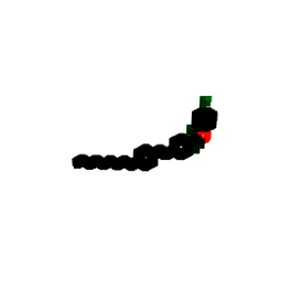 CCCCCCCCCC1CCC(/C=C/C2CCC(C(F)(F)Oc3ccc(F)cc3)CC2)CC1